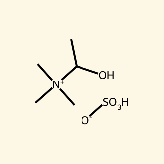 CC(O)[N+](C)(C)C.O=S(=O)([O-])O